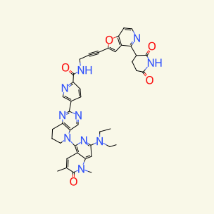 CCN(CC)c1cc2c(cc(C)c(=O)n2C)c(N2CCCc3nc(-c4ccc(C(=O)NCC#Cc5cc6c(C7CCC(=O)NC7=O)nccc6o5)nc4)ncc32)n1